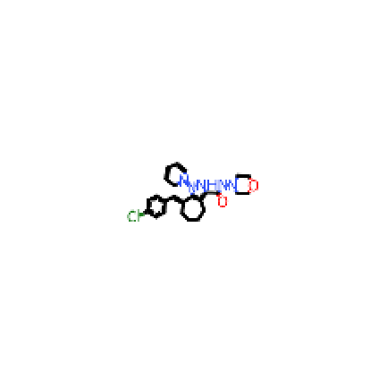 O=C(NN1CCOCC1)c1nn(N2C=CC=CC2)c2c1CCCCC2=Cc1ccc(Cl)cc1